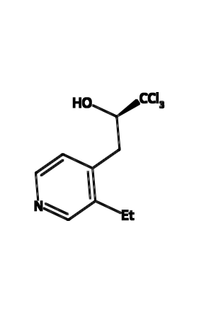 CCc1cnccc1C[C@@H](O)C(Cl)(Cl)Cl